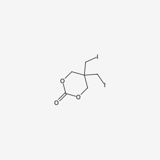 O=C1OCC(CI)(CI)CO1